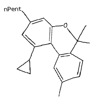 CCCCCc1cc2c(c(C3CC3)c1)-c1cc(C)ccc1C(C)(C)O2